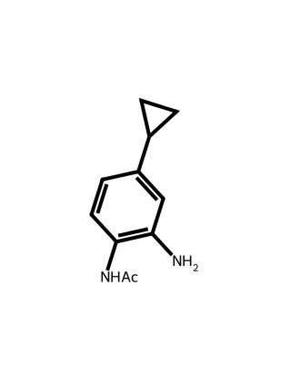 CC(=O)Nc1ccc(C2CC2)cc1N